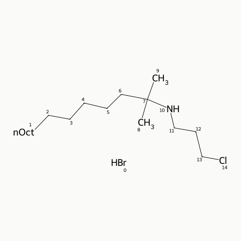 Br.CCCCCCCCCCCCCC(C)(C)NCCCCl